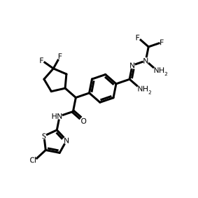 N/C(=N\N(N)C(F)F)c1ccc(C(C(=O)Nc2ncc(Cl)s2)C2CCC(F)(F)C2)cc1